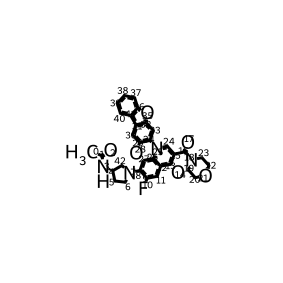 CC(=O)N[C@@H]1CCN(c2c(F)cc3c(=O)c(C(=O)N4CCOCC4)cn4c3c2Oc2cc3c(cc2-4)oc2ccccc23)C1